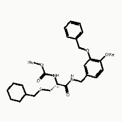 COc1ccc(CNC(=O)[C@H](CSCC2CCCCC2)NC(=O)OC(C)(C)C)cc1OCc1ccccc1